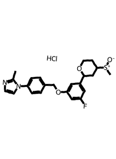 Cc1nccn1-c1ccc(COc2cc(F)cc(C3CC([S+](C)[O-])CCO3)c2)cc1.Cl